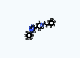 c1ccc(CCN2CCC(c3cn(-c4ccccc4)nn3)CC2)cc1